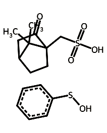 CC1(C)C2CCC1(CS(=O)(=O)O)C(=O)C2.OSc1ccccc1